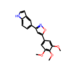 COc1cc(-c2cc(-c3ccc4[nH]ccc4c3)no2)cc(OC)c1OC